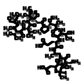 CCC(CC)CN(C)[C@H](C(=O)N[C@H](C(=O)N(C)[C@@H]([C@@H](C)CC)[C@@H](CC(=O)N1CCC[C@H]1C(OC)[C@@H](C)C(=O)N[C@H](C(=O)N[C@@H](CCC(=O)O)C(=O)N[C@H](C)CNC(=O)[C@H](CN)NC(=O)C(CC(=O)O)SC(I)(CC)CC)C(C)O)OC)C(C)C)C(C)C